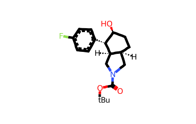 CC(C)(C)OC(=O)N1C[C@@H]2CC[C@H](O)[C@@H](c3ccc(F)cc3)[C@@H]2C1